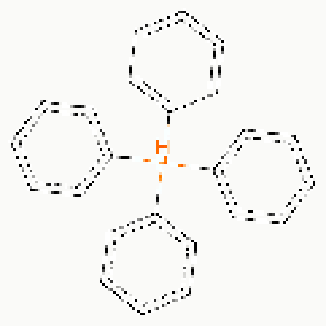 C1=C=CC([PH](c2ccccc2)(c2ccccc2)c2ccccc2)=CC=1